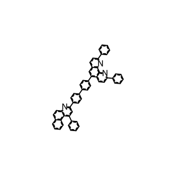 c1ccc(-c2ccc3cc(-c4ccc(-c5ccc(-c6cc(-c7ccccc7)c7c(ccc8ccccc87)n6)cc5)cc4)c4ccc(-c5ccccc5)nc4c3n2)cc1